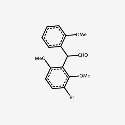 COc1ccccc1C(C=O)c1c(OC)ccc(Br)c1OC